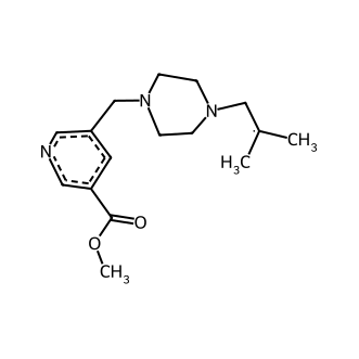 COC(=O)c1cncc(CN2CCN(C[C](C)C)CC2)c1